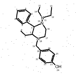 CCC1C(c2ccccc2)N(N(CC)CC)CCN1Cc1ccc(O)cc1